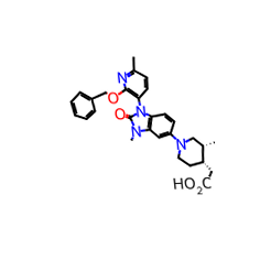 Cc1ccc(-n2c(=O)n(C)c3cc(N4CC[C@@H](CC(=O)O)[C@@H](C)C4)ccc32)c(OCc2ccccc2)n1